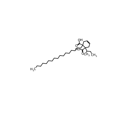 CCCCCCCCCCCCCCCCCC1(C(=O)O)CC=CCC1(C(=O)O)C(C)CC